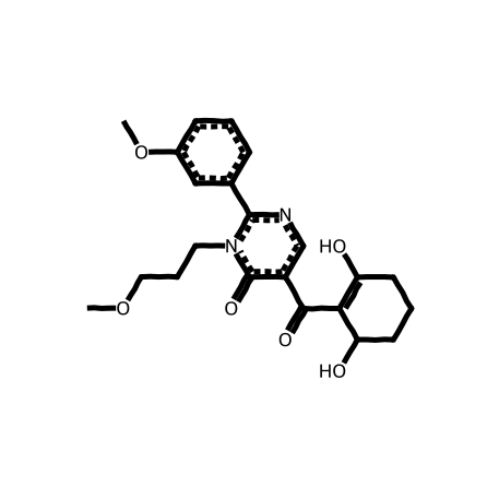 COCCCn1c(-c2cccc(OC)c2)ncc(C(=O)C2=C(O)CCCC2O)c1=O